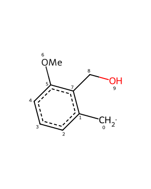 [CH2]c1cccc(OC)c1CO